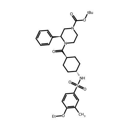 CCOc1ccc(S(=O)(=O)N[C@H]2CC[C@H](C(=O)N3CCN(C(=O)OC(C)(C)C)C[C@@H]3c3ccccc3)CC2)cc1C